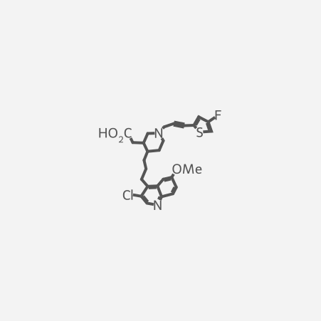 COc1ccc2ncc(Cl)c(CCCC3CCN(CC#Cc4cc(F)cs4)CC3CC(=O)O)c2c1